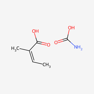 CC=C(C)C(=O)O.NC(=O)O